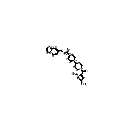 Cc1cc(C(=O)N2CCC(c3ccc(C(=O)NCc4ccn5ccnc5c4)cc3)CC2)n(C(C)(C)C)n1